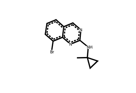 CC1(Nc2ncc3cccc(Br)c3n2)CC1